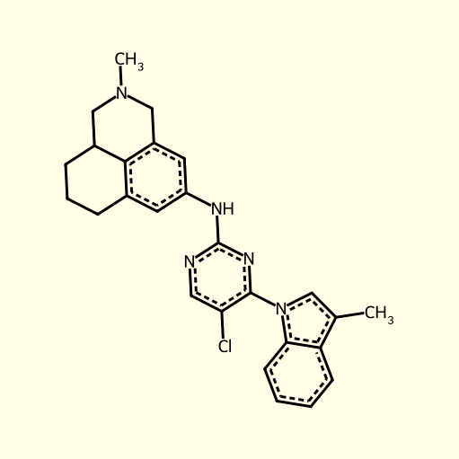 Cc1cn(-c2nc(Nc3cc4c5c(c3)CN(C)CC5CCC4)ncc2Cl)c2ccccc12